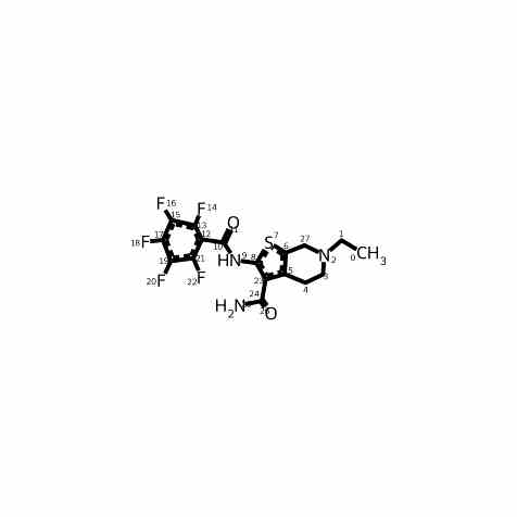 CCN1CCc2c(sc(NC(=O)c3c(F)c(F)c(F)c(F)c3F)c2C(N)=O)C1